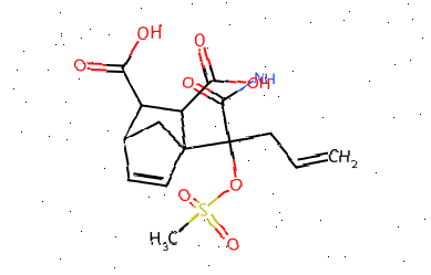 C=CCC(OS(C)(=O)=O)(C([NH])=O)C12C=CC(C1)C(C(=O)O)C2C(=O)O